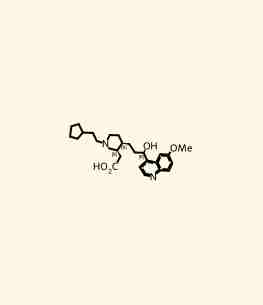 COc1ccc2nccc([C@H](O)CC[C@@H]3CCN(CCC4CCCC4)C[C@@H]3CC(=O)O)c2c1